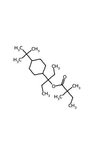 CCC(C)(C)C(=O)OC(CC)(CC)C1CCC(C(C)(C)C)CC1